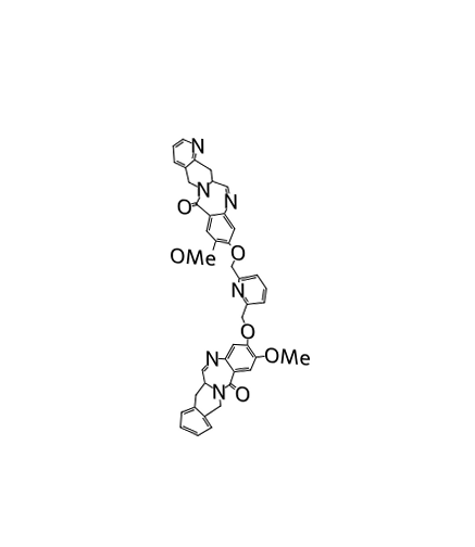 COc1cc2c(cc1OCc1cccc(COc3cc4c(cc3OC)C(=O)N3Cc5cccnc5CC3C=N4)n1)N=CC1Cc3ccccc3CN1C2=O